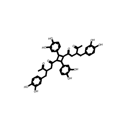 CC(=O)C(CC(=O)C1C(c2ccc(O)c(O)c2)C(C(=O)CC(Cc2ccc(O)c(O)c2)C(C)=O)C1c1ccc(O)c(O)c1)Cc1ccc(O)c(O)c1